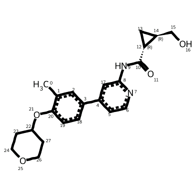 Cc1cc(-c2ccnc(NC(=O)[C@@H]3C[C@H]3CO)c2)ccc1OC1CCOCC1